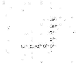 [Ca+2].[Ca+2].[La+3].[La+3].[O-2].[O-2].[O-2].[O-2].[O-2]